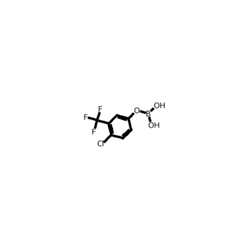 OB(O)Oc1ccc(Cl)c(C(F)(F)F)c1